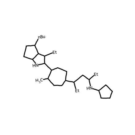 CCCCC1CCC2NC(C3CCC(C(CC)CC(CC)NC4CCCC4)CCC3C)C(CC)C12